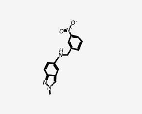 Cn1cc2cc(NCc3cccc([N+](=O)[O-])c3)ccc2n1